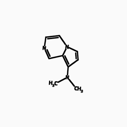 CN(C)c1ccn2ccncc12